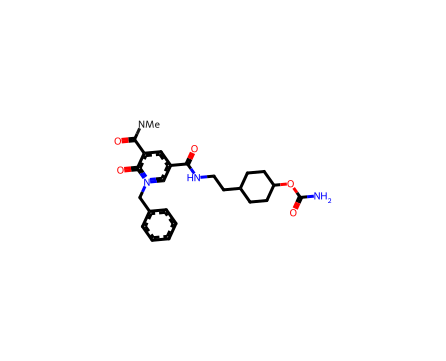 CNC(=O)c1cc(C(=O)NCCC2CCC(OC(N)=O)CC2)cn(Cc2ccccc2)c1=O